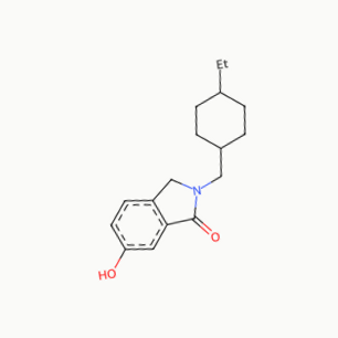 CCC1CCC(CN2Cc3ccc(O)cc3C2=O)CC1